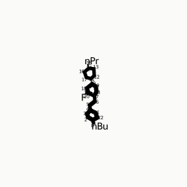 CCCCc1ccc(/C=C/c2ccc([C@H]3CC[C@H](CCC)CC3)cc2F)cc1